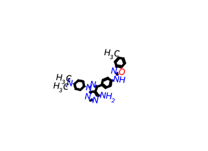 Cc1ccc2oc(Nc3ccc(-c4nn([C@H]5CC[C@@H](N(C)C)CC5)c5ncnc(N)c45)cc3)nc2c1